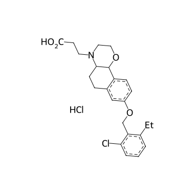 CCc1cccc(Cl)c1COc1ccc2c(c1)CCC1C2OCCN1CCC(=O)O.Cl